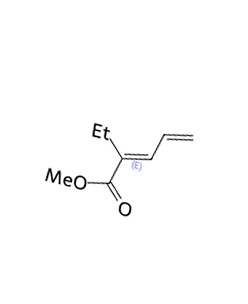 C=C/C=C(\CC)C(=O)OC